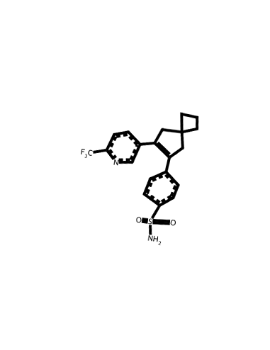 NS(=O)(=O)c1ccc(C2=C(c3ccc(C(F)(F)F)nc3)CC3(CCC3)C2)cc1